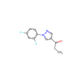 CCC(=O)c1cnn(-c2ccc(F)cc2F)c1